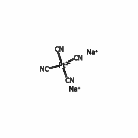 N#[C][Pt-2]([C]#N)([C]#N)[C]#N.[Na+].[Na+]